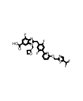 O=C(O)c1cc(F)c2nc(Cc3cc(F)c(-c4cccc(OCc5ncc(C(F)F)s5)n4)cc3F)n(C[C@@H]3CCO3)c2c1